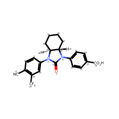 N#Cc1ccc(N2C(=O)N(c3ccc(C(=O)O)cc3)[C@H]3CCCC[C@@H]32)cc1C(F)(F)F